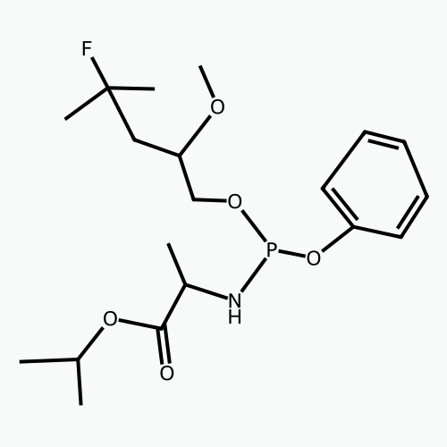 COC(COP(NC(C)C(=O)OC(C)C)Oc1ccccc1)CC(C)(C)F